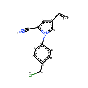 C=Cc1cc(C#N)n(-c2ccc(CCl)cc2)c1